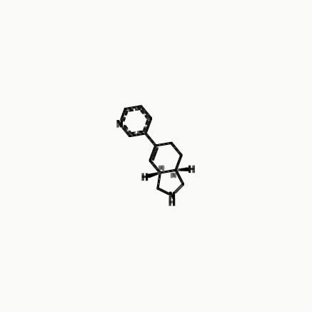 C1=C(c2cccnc2)CC[C@@H]2CNC[C@H]12